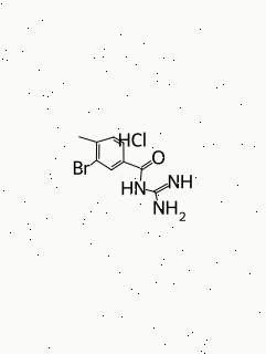 Cc1ccc(C(=O)NC(=N)N)cc1Br.Cl